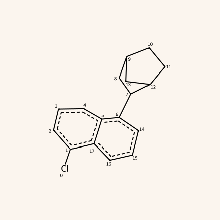 Clc1cccc2c(C3CC4CCC3C4)cccc12